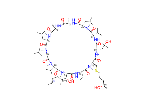 C/C=C/C[C@@H](C)[C@@H](O)[C@H]1C(=O)N[C@@H](CC)C(=O)N(C)[C@H](CSCCC[C@@H](C)O)C(=O)N(C)[C@@H](CC(C)(C)O)C(=O)N[C@@H](C(C)C)C(=O)N(C)[C@@H](CC(C)C)C(=O)N[C@@H](C)C(=O)N[C@H](C)C(=O)N(C)[C@@H](CC(C)C)C(=O)N(C)[C@@H](CC(C)C)C(=O)N(C)[C@@H](C(C)C)C(=O)N1C